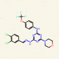 FC(F)(F)Oc1ccc(Nc2nc(N/N=C/c3ccc(Cl)c(Cl)c3)nc(N3CCOCC3)n2)cc1